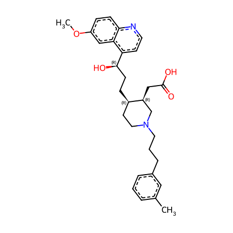 COc1ccc2nccc([C@H](O)CC[C@@H]3CCN(CCCc4cccc(C)c4)C[C@@H]3CC(=O)O)c2c1